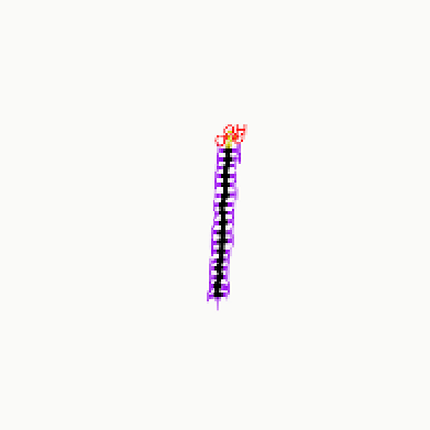 O=S(=O)(O)C(I)(I)C(I)(I)C(I)(I)C(I)(I)C(I)(I)C(I)(I)C(I)(I)C(I)(I)C(I)(I)C(I)(I)C(I)(I)C(I)(I)C(I)(I)C(I)(I)C(I)(I)C(I)(I)C(I)(I)I